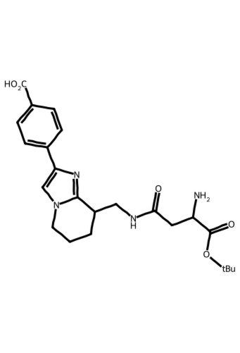 CC(C)(C)OC(=O)C(N)CC(=O)NCC1CCCn2cc(-c3ccc(C(=O)O)cc3)nc21